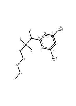 CCCCCC(C)(C)C(C)c1cc(O)cc(O)c1